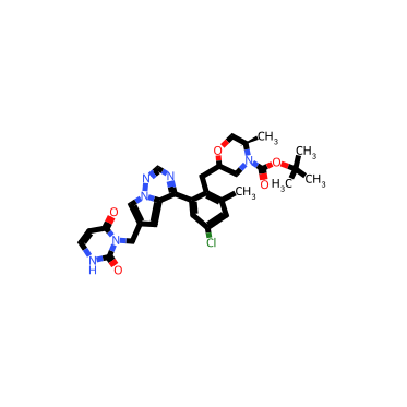 Cc1cc(Cl)cc(-c2ncnn3cc(Cn4c(=O)cc[nH]c4=O)cc23)c1CC1CN(C(=O)OC(C)(C)C)[C@H](C)CO1